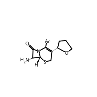 CC(=O)C1=C([C@@H]2CCCO2)CS[C@@H]2[C@H](N)C(=O)N12